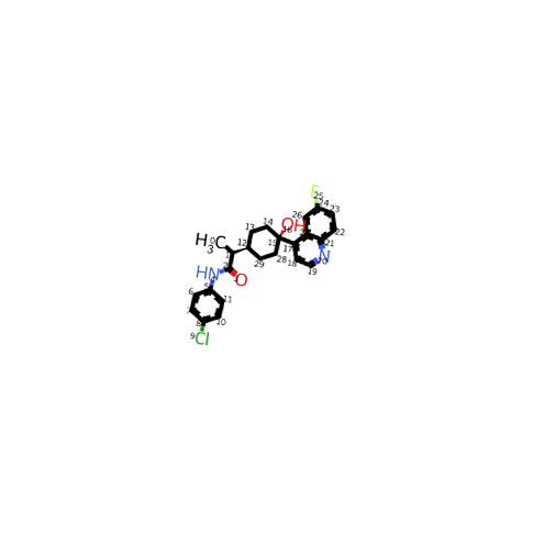 CC(C(=O)Nc1ccc(Cl)cc1)[C@H]1CC[C@](O)(c2ccnc3ccc(F)cc32)CC1